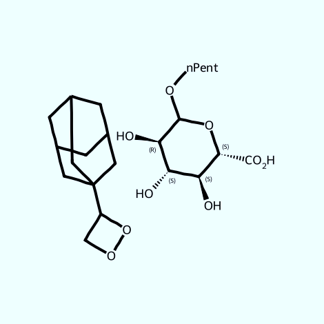 C1C2CC3CC1CC(C1COO1)(C2)C3.CCCCCOC1O[C@H](C(=O)O)[C@@H](O)[C@H](O)[C@H]1O